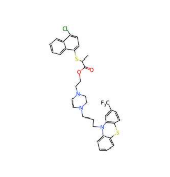 CC(Sc1ccc(Cl)c2ccccc12)C(=O)OCCN1CCN(CCCN2c3ccccc3Sc3ccc(C(F)(F)F)cc32)CC1